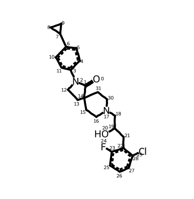 O=C1N(c2ccc(C3CC3)cc2)CCC12CCN(CC(O)Cc1c(F)cccc1Cl)CC2